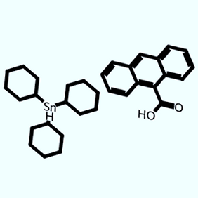 C1CC[CH]([SnH]([CH]2CCCCC2)[CH]2CCCCC2)CC1.O=C(O)c1c2ccccc2cc2ccccc12